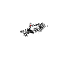 C#Cc1c(F)ccc2cc(O)cc(-c3ncc4c(N5CC6CCC(C5)N6)nc(OC[C@@H]5CCCN5CCCOCCC(=O)O[C@H](C(=O)N5C[C@H](O)C[C@H]5C(=O)N[C@@H](C)c5ccc(-c6c(C)cccc6C(F)(F)F)cc5)C(C)(C)C)nc4c3F)c12